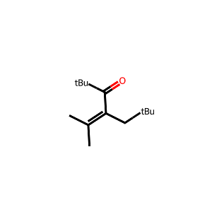 CC(C)=C(CC(C)(C)C)C(=O)C(C)(C)C